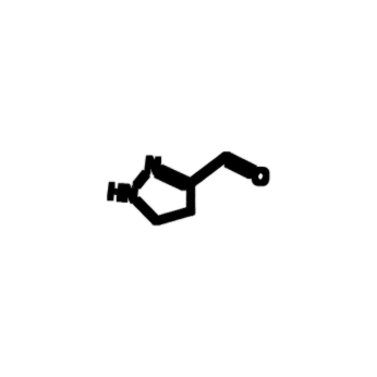 O=CC1=NNCC1